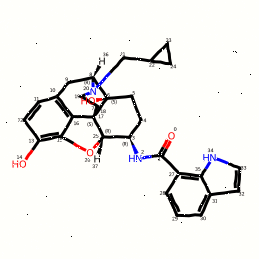 O=C(N[C@@H]1CC[C@@]2(O)[C@H]3Cc4ccc(O)c5c4[C@@]2(CCN3CC2CC2)[C@H]1O5)c1cccc2cc[nH]c12